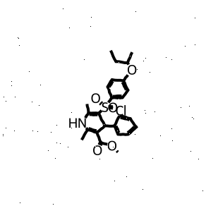 CCC(C)Oc1ccc(S(=O)(=O)C2=C(C)NC(C)=C(C(=O)OC)C2c2ccccc2Cl)cc1